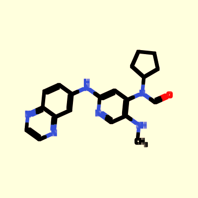 CNc1cnc(Nc2ccc3nccnc3c2)cc1N(C=O)C1CCCC1